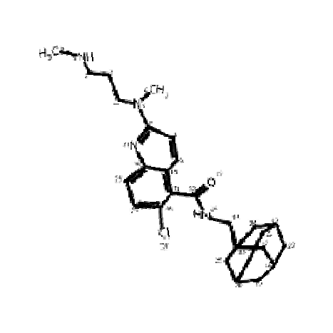 CNCCCN(C)c1ccc2c(C(=O)NCC34CC5CC(CC(C5)C3)C4)c(Cl)ccc2n1